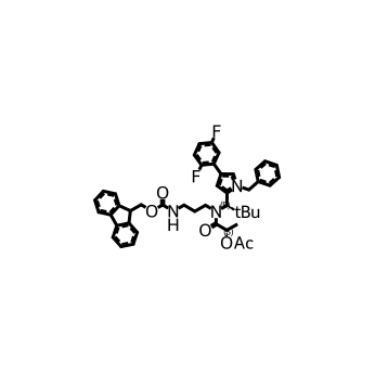 CC(=O)O[C@@H](C)C(=O)N(CCCNC(=O)OCC1c2ccccc2-c2ccccc21)[C@@H](c1cc(-c2cc(F)ccc2F)cn1Cc1ccccc1)C(C)(C)C